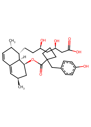 C[C@H]1C=C2C=C[C@H](C)[C@H](CC[C@@H](O)C[C@@H](O)CC(=O)O)[C@H]2[C@@H](OC(=O)C2(Cc3ccc(O)cc3)CCC2)C1